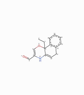 CCC12OC=C(C=O)NC1=CCc1ccccc12